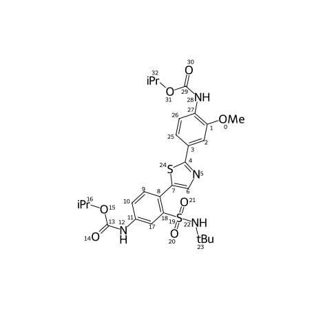 COc1cc(-c2ncc(-c3ccc(NC(=O)OC(C)C)cc3S(=O)(=O)NC(C)(C)C)s2)ccc1NC(=O)OC(C)C